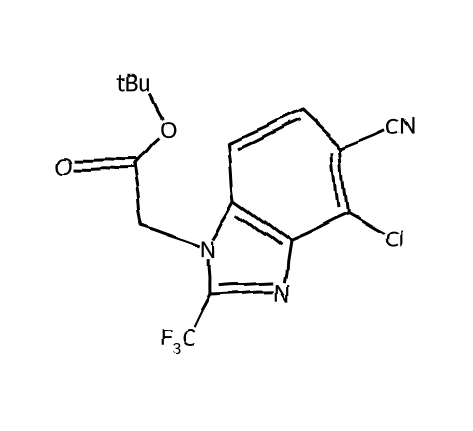 CC(C)(C)OC(=O)Cn1c(C(F)(F)F)nc2c(Cl)c(C#N)ccc21